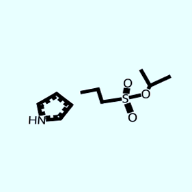 CCCS(=O)(=O)OC(C)C.c1cc[nH]c1